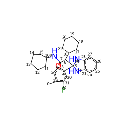 Cc1ccc(C2(C(C(=O)NC3CCCCC3)C3CCCCC3)Nc3ccccc3N2)cc1F